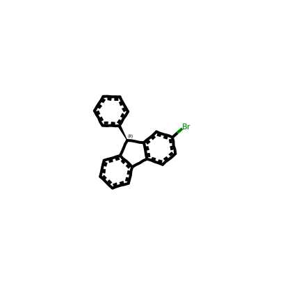 Brc1ccc2c(c1)[C@H](c1ccccc1)c1ccccc1-2